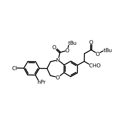 CCCc1cc(Cl)ccc1C1COc2ccc(C(C=O)CC(=O)OC(C)(C)C)cc2N(C(=O)OC(C)(C)C)C1